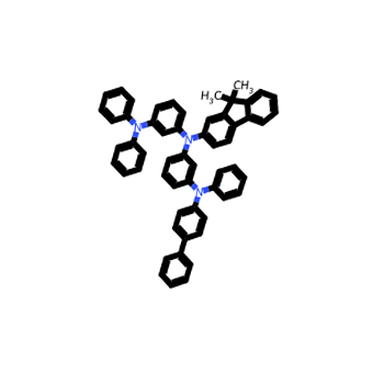 CC1(C)c2ccccc2-c2ccc(N(c3cccc(N(c4ccccc4)c4ccccc4)c3)c3cccc(N(c4ccccc4)c4ccc(-c5ccccc5)cc4)c3)cc21